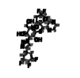 OC[C@H]1O[C@@H](S[C@H](c2nccnc2Cl)C2(O)CCC(F)(F)CC2)[C@H](O)[C@@H](n2cc(-c3cc(F)c(F)c(F)c3)nn2)[C@H]1O